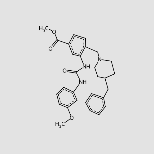 COC(=O)c1ccc(CN2CCC(Cc3ccccc3)CC2)c(NC(=O)Nc2cccc(OC)c2)c1